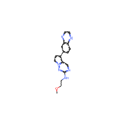 COCCNc1ncc2c(-c3ccc4nccnc4c3)ccn2n1